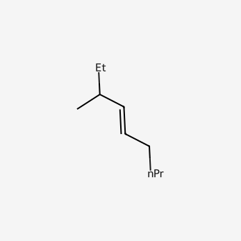 [CH2]CC(C)C=CCCCC